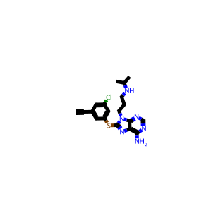 C#Cc1cc(Cl)cc(Sc2nc3c(N)ncnc3n2CCCNC(C)C)c1